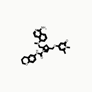 Cc1cc(OCC23CN(C(=O)Nc4ccc5c(c4)CCCO5)C(CN(C)c4cccc5c(N)nccc45)(C2)C3)cc(=O)n1C